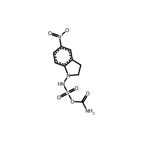 NC(=O)OS(=O)(=O)NN1CCc2cc([N+](=O)[O-])ccc21